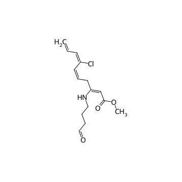 C=C/C=C(Cl)\C=C/C/C(=C/C(=O)OC)NCCCC=O